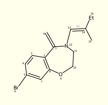 C=C1c2ccc(Br)cc2OCCN1/C=C(\C)CC